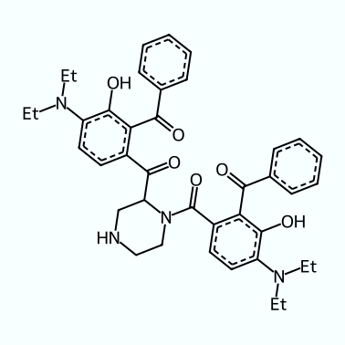 CCN(CC)c1ccc(C(=O)C2CNCCN2C(=O)c2ccc(N(CC)CC)c(O)c2C(=O)c2ccccc2)c(C(=O)c2ccccc2)c1O